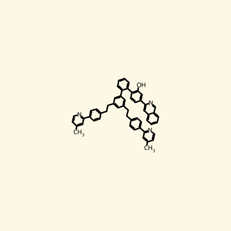 Cc1ccnc(-c2ccc(CCc3cc(CCc4ccc(-c5cc(C)ccn5)cc4)cc(-c4ccccc4-c4ccc(-c5cc6ccccc6cn5)cc4O)c3)cc2)c1